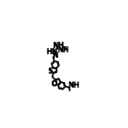 CC(=N)c1ccc2oc(Cc3cc4ccc(/C=N/NC(=N)N)cc4s3)cc2c1